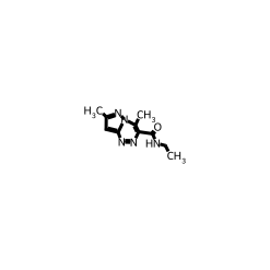 CCNC(=O)c1nnc2cc(C)nn2c1C